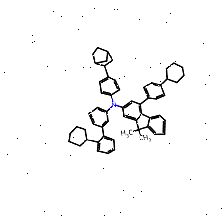 CC1(C)c2ccccc2-c2c(-c3ccc(C4CCCCC4)cc3)cc(N(c3ccc(C4CC5CCC4C5)cc3)c3cccc(-c4ccccc4C4CCCCC4)c3)cc21